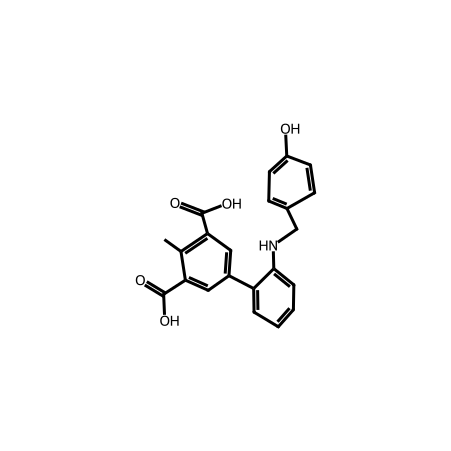 Cc1c(C(=O)O)cc(-c2ccccc2NCc2ccc(O)cc2)cc1C(=O)O